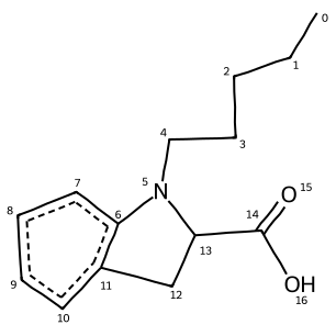 CCCCCN1c2ccccc2CC1C(=O)O